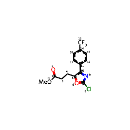 COC(=O)CCc1oc(Cl)nc1-c1ccc(C(F)(F)F)cc1